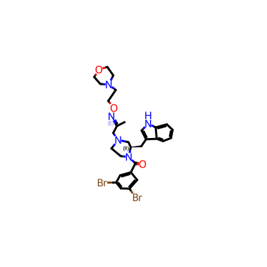 C/C(CN1CCN(C(=O)c2cc(Br)cc(Br)c2)[C@H](Cc2c[nH]c3ccccc23)C1)=N\OCCN1CCOCC1